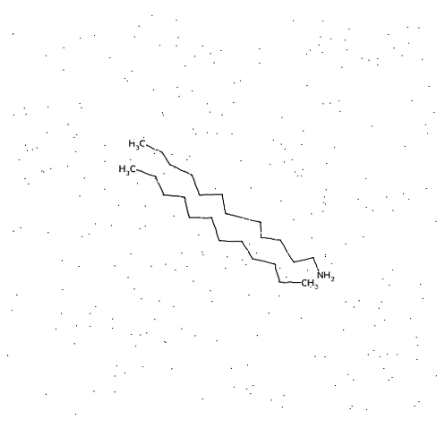 CCCCCCCCCCCC.CCCCCCCCCCCCN